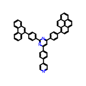 c1ccc2c(c1)cc(-c1ccc(-c3nc(-c4ccc(-c5ccncc5)cc4)cc(-c4ccc(-c5ccc6ccc7cccc8ccc5c6c78)cc4)n3)cc1)c1ccccc12